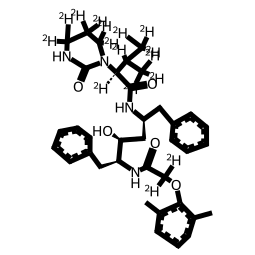 [2H]C([2H])(Oc1c(C)cccc1C)C(=O)N[C@@H](Cc1ccccc1)[C@@H](O)C[C@H](Cc1ccccc1)NC(=O)[C@@]([2H])(N1C(=O)NC([2H])([2H])C([2H])([2H])C1([2H])[2H])C([2H])(C([2H])([2H])[2H])C([2H])([2H])[2H]